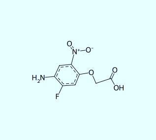 Nc1cc([N+](=O)[O-])c(OCC(=O)O)cc1F